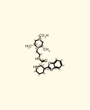 C[C@@H]1CN(C(=O)O)C[C@H](C)N1CCNC(=O)[C@H]1NCCCC1c1nc2ccccc2o1